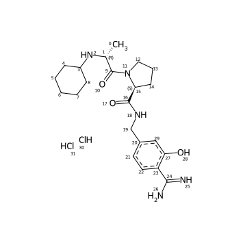 C[C@@H](NC1CCCCC1)C(=O)N1CCC[C@H]1C(=O)NCc1ccc(C(=N)N)c(O)c1.Cl.Cl